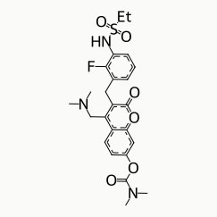 CCS(=O)(=O)Nc1cccc(Cc2c(CN(C)C)c3ccc(OC(=O)N(C)C)cc3oc2=O)c1F